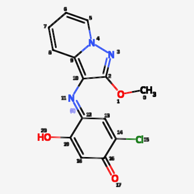 COc1nn2ccccc2c1/N=C1\C=C(Cl)C(=O)C=C1O